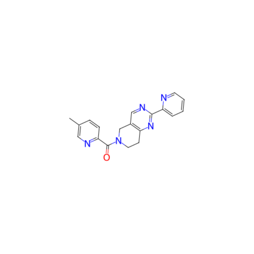 Cc1ccc(C(=O)N2CCc3nc(-c4ccccn4)ncc3C2)nc1